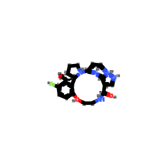 CC[C@@]12c3cc(F)ccc3OCCNC(=O)c3cnn4ccc(nc34)N1CC[C@H]2C